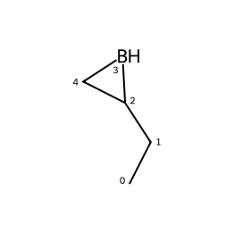 CCC1BC1